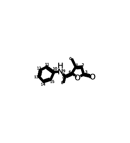 CC1=CC(=O)O/C1=C(\C)Nc1ccccc1